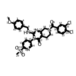 COc1ccc(CNc2nc3c(c(=O)n2-c2ccc(S(C)(=O)=O)nc2)CCN(C(=O)c2ccc(Cl)c(Cl)c2)C3)cc1